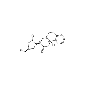 O=C1C[C@H]2c3ccccc3CCN2C[C@@H]1N1C[C@@H](CF)CC1=O